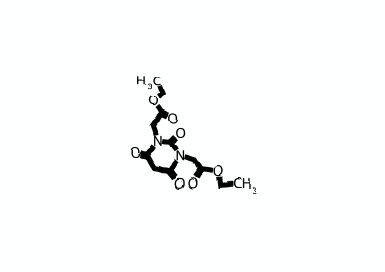 CCOC(=O)CN1C(=O)CC(=O)N(CC(=O)OCC)C1=O